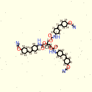 CC(COC(=O)NC1CCC(CC2CCC(OC#N)CC2)CC1)(COC(=O)NC1CCC(CC2CCC(OC#N)CC2)CC1)OC(=O)NC1CCC(CC2CCC(OC#N)CC2)CC1